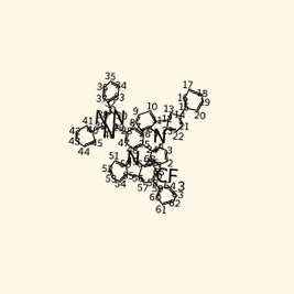 FC(F)(F)c1ccc(-n2c3ccccc3c3cc(-c4ccccc4)ccc32)c(-c2ccc(-c3nc(-c4ccccc4)nc(-c4ccccc4)n3)cc2-n2c3ccccc3c3cc(-c4ccccc4)ccc32)c1